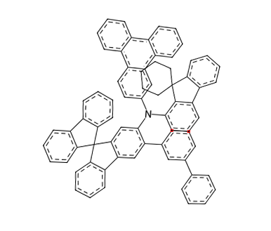 c1ccc(-c2cccc(-c3cc4c(cc3N(c3ccc5c6ccccc6c6ccccc6c5c3)c3cccc5c3C3(CCCCC3)c3ccccc3-5)C3(c5ccccc5-c5ccccc53)c3ccccc3-4)c2)cc1